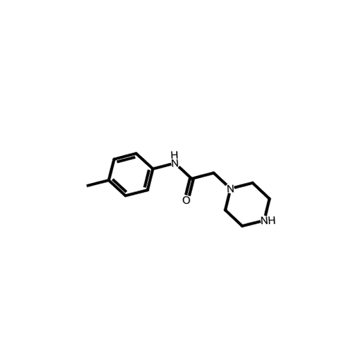 Cc1ccc(NC(=O)CN2CCNCC2)cc1